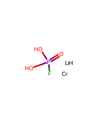 O=P(O)(O)F.[Cr].[LiH]